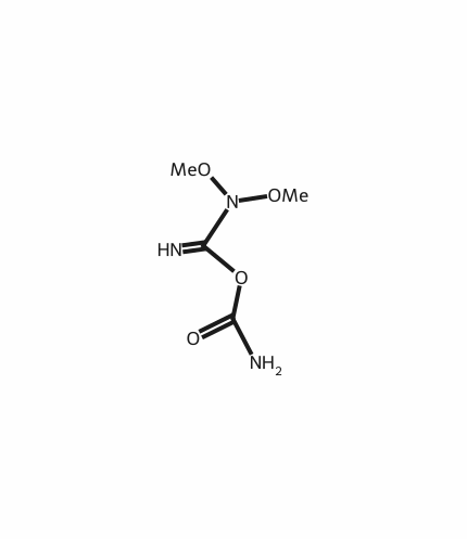 CON(OC)C(=N)OC(N)=O